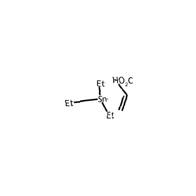 C=CC(=O)O.C[CH2][Sn]([CH2]C)[CH2]C